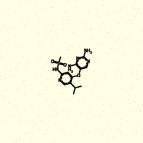 CC(C)c1cnc(NS(C)(=O)=O)cc1Oc1cnc(N)nc1N